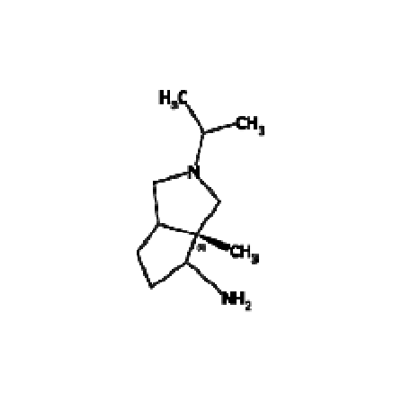 CC(C)N1CC2CCC(N)[C@@]2(C)C1